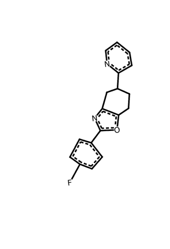 Fc1ccc(-c2nc3c(o2)CCC(c2ccccn2)C3)cc1